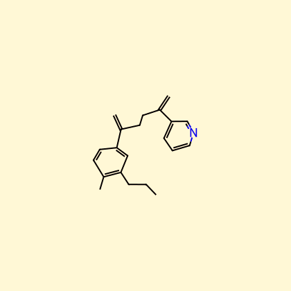 C=C(CCC(=C)c1ccc(C)c(CCC)c1)c1cccnc1